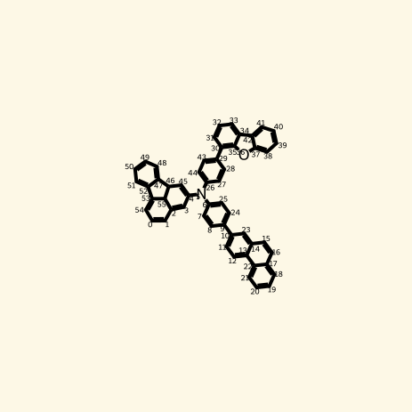 C1=CC2=CC(N(c3ccc(-c4ccc5c(ccc6ccccc65)c4)cc3)c3ccc(-c4cccc5c4oc4ccccc45)cc3)=CC3c4ccccc4C(=C1)C23